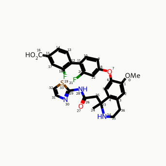 COc1cc2c(cc1Oc1ccc(-c3ccc(C(=O)O)cc3F)c(F)c1)C(C)(CC(=O)Nc1nccs1)NCC2